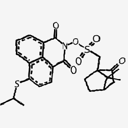 CC(C)Sc1ccc2c3c(cccc13)C(=O)N(OS(=O)(=O)CC13CCC(CC1=O)C3(C)C)C2=O